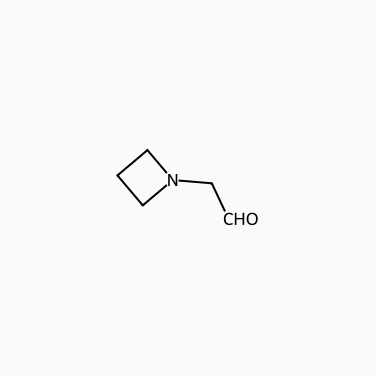 O=CCN1CCC1